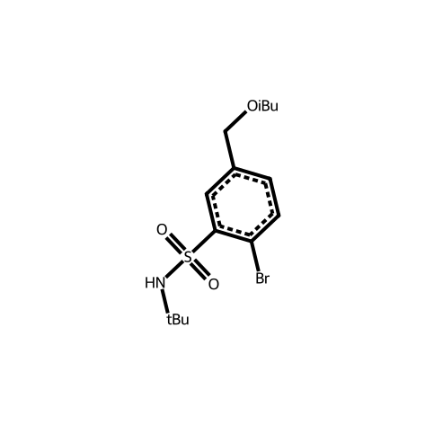 CC(C)COCc1ccc(Br)c(S(=O)(=O)NC(C)(C)C)c1